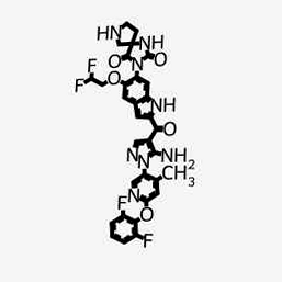 Cc1cc(Oc2c(F)cccc2F)ncc1-n1ncc(C(=O)c2cc3cc(OCC(F)F)c(N4C(=O)NC5(CCNC5)C4=O)cc3[nH]2)c1N